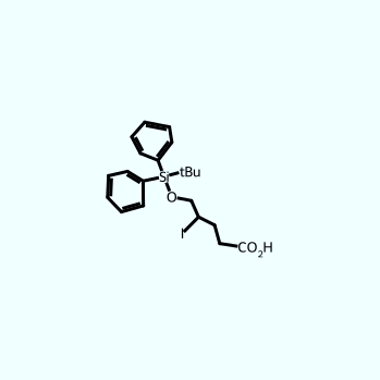 CC(C)(C)[Si](OCC(I)CCC(=O)O)(c1ccccc1)c1ccccc1